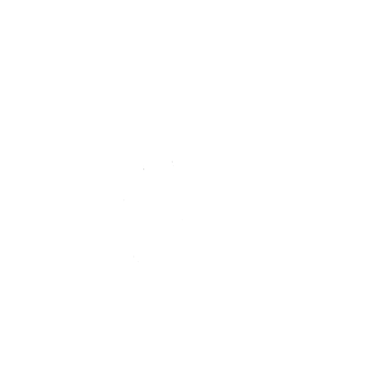 CCC(=O)C1CCCCC1C(=O)O